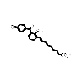 Cc1c(C=CCCCCCCC(=O)O)cccc1C(=O)c1ccc(Cl)cc1